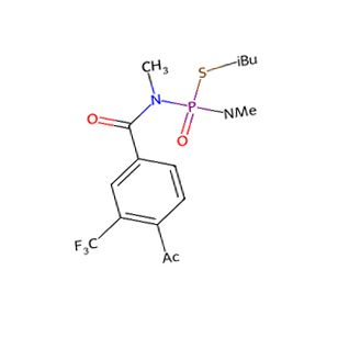 CCC(C)SP(=O)(NC)N(C)C(=O)c1ccc(C(C)=O)c(C(F)(F)F)c1